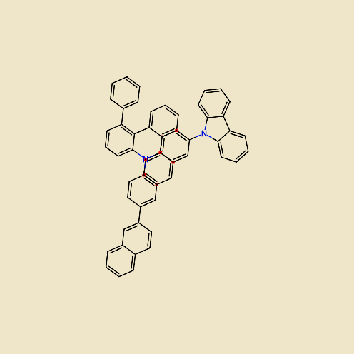 c1ccc(-c2ccccc2-c2c(-c3ccccc3)cccc2N(c2ccc(-c3ccc4ccccc4c3)cc2)c2ccc(-n3c4ccccc4c4ccccc43)cc2)cc1